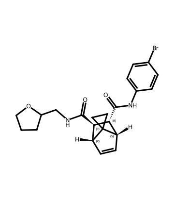 O=C(NCC1CCCO1)[C@H]1[C@H](C(=O)Nc2ccc(Br)cc2)[C@@H]2C=C[C@H]1C21CC1